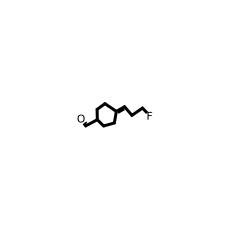 O=CC1CCC(=CCCF)CC1